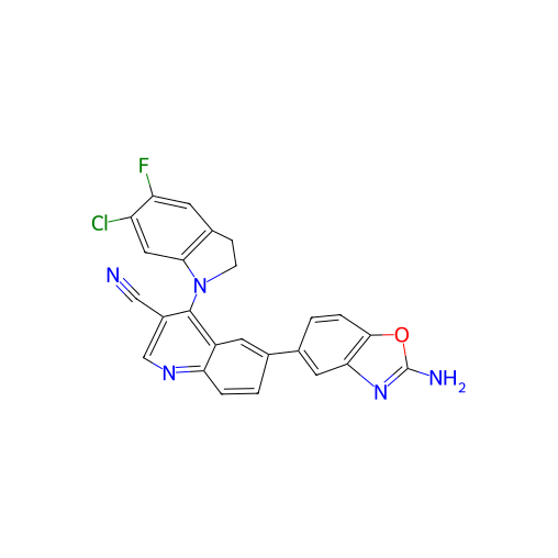 N#Cc1cnc2ccc(-c3ccc4oc(N)nc4c3)cc2c1N1CCc2cc(F)c(Cl)cc21